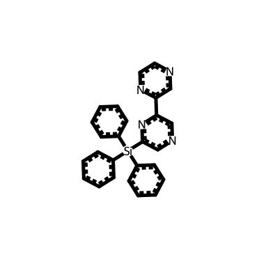 c1ccc([Si](c2ccccc2)(c2ccccc2)c2cncc(-c3cnccn3)n2)cc1